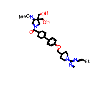 C=N/C(=N\C=C\CC)N1CCC(COc2ccc(C3=CCC(C(=O)N4C/C(=N\OC)C(CO)(CO)C4)CC3)cc2)CC1